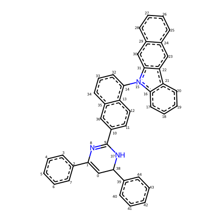 C1=C(c2ccccc2)N=C(c2ccc3c(-n4c5ccccc5c5cc6ccccc6cc54)cccc3c2)NC1c1ccccc1